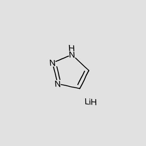 [LiH].c1c[nH]nn1